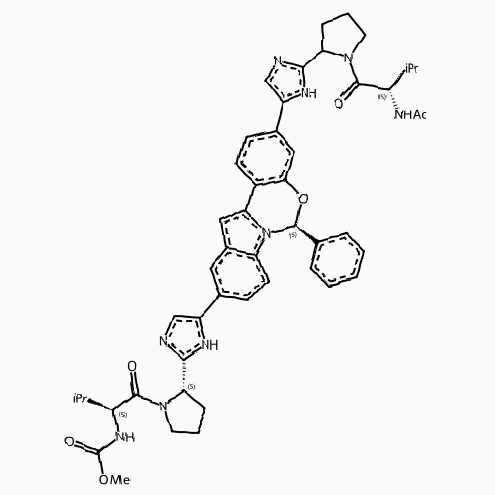 COC(=O)N[C@H](C(=O)N1CCC[C@H]1c1ncc(-c2ccc3c(c2)cc2n3[C@H](c3ccccc3)Oc3cc(-c4cnc(C5CCCN5C(=O)[C@@H](NC(C)=O)C(C)C)[nH]4)ccc3-2)[nH]1)C(C)C